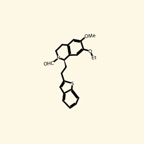 CCOc1cc2c(cc1OC)CCN(C=O)[C@@H]2CCc1cc2ccccc2s1